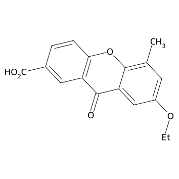 CCOc1cc(C)c2oc3ccc(C(=O)O)cc3c(=O)c2c1